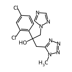 Cn1nnnc1CC(O)(Cn1cncn1)c1ccc(Cl)cc1Cl